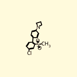 CS(=O)(=O)c1cc(Cl)ccc1-c1ccc(N2CCC2)cc1